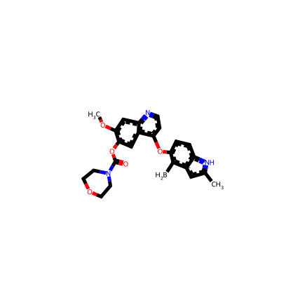 Bc1c(Oc2ccnc3cc(OC)c(OC(=O)N4CCOCC4)cc23)ccc2[nH]c(C)cc12